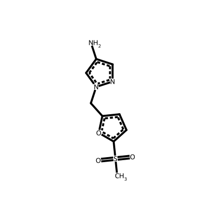 CS(=O)(=O)c1ccc(Cn2cc(N)cn2)o1